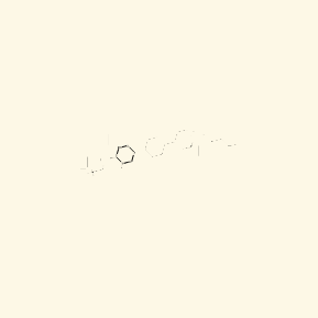 CCCCC[Si@H]1CC[C@H]([C@H]2CC[C@H](c3cc(F)c(OCC(F)(F)F)c(F)c3)CC2)CC1